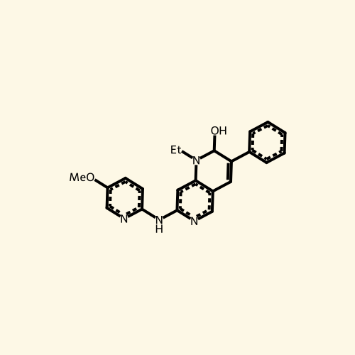 CCN1c2cc(Nc3ccc(OC)cn3)ncc2C=C(c2ccccc2)C1O